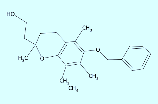 C.Cc1c(C)c2c(c(C)c1OCc1ccccc1)CCC(C)(CCO)O2